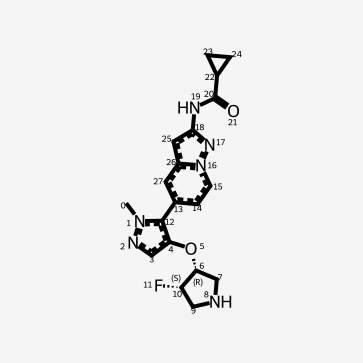 Cn1ncc(O[C@@H]2CNC[C@@H]2F)c1-c1ccn2nc(NC(=O)C3CC3)cc2c1